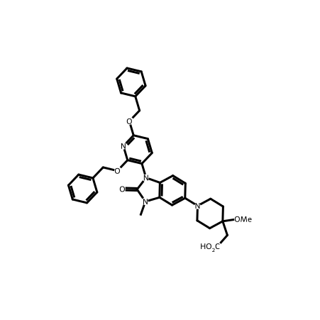 COC1(CC(=O)O)CCN(c2ccc3c(c2)n(C)c(=O)n3-c2ccc(OCc3ccccc3)nc2OCc2ccccc2)CC1